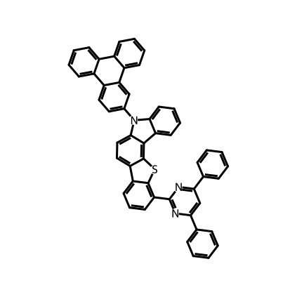 c1ccc(-c2cc(-c3ccccc3)nc(-c3cccc4c3sc3c4ccc4c3c3ccccc3n4-c3ccc4c5ccccc5c5ccccc5c4c3)n2)cc1